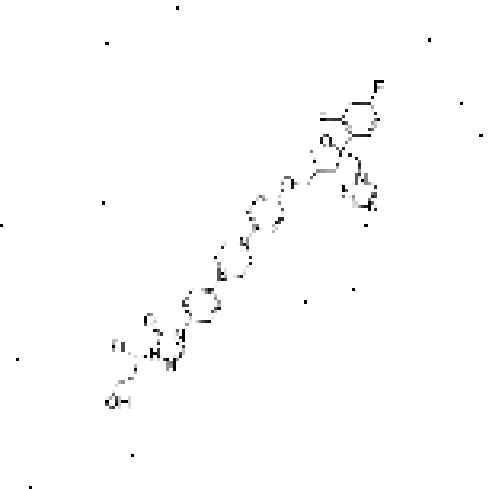 CC[C@@H](CCO)n1ncn(-c2ccc(N3CCN(c4ccc(OCC5COC(Cn6cncn6)(c6ccc(F)cc6F)C5)cc4)CC3)cc2)c1=O